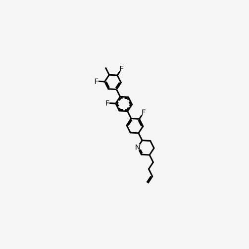 C=CCCC1C=NC(C2C=C(F)C(c3ccc(C4=CC(F)C(C)C(F)=C4)c(F)c3)=CC2)CC1